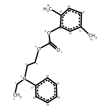 CCN(CCOC(=O)Oc1cc(C)ccc1C)c1ccccc1